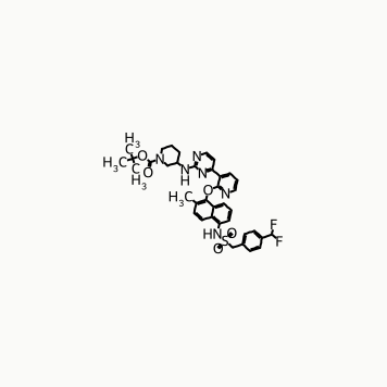 Cc1ccc2c(NS(=O)(=O)Cc3ccc(C(F)F)cc3)cccc2c1Oc1ncccc1-c1ccnc(NC2CCCN(C(=O)OC(C)(C)C)C2)n1